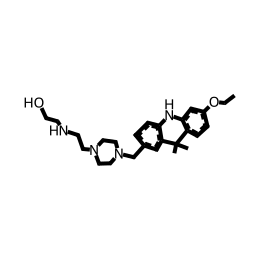 CCOc1ccc2c(c1)Nc1ccc(CN3CCN(CCNCCO)CC3)cc1C2(C)C